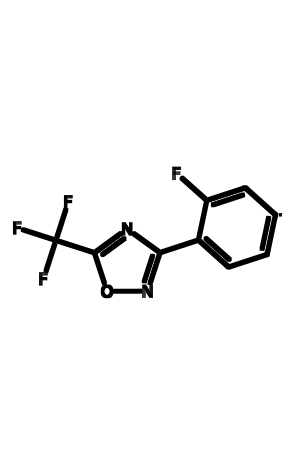 Fc1c[c]ccc1-c1noc(C(F)(F)F)n1